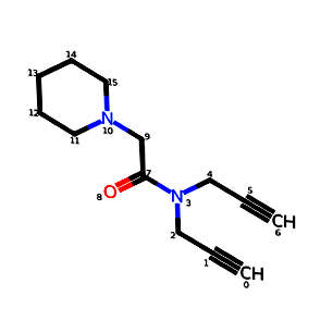 C#CCN(CC#C)C(=O)CN1CCCCC1